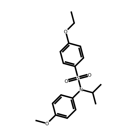 CCOc1ccc(S(=O)(=O)N(c2ccc(OC)cc2)C(C)C)cc1